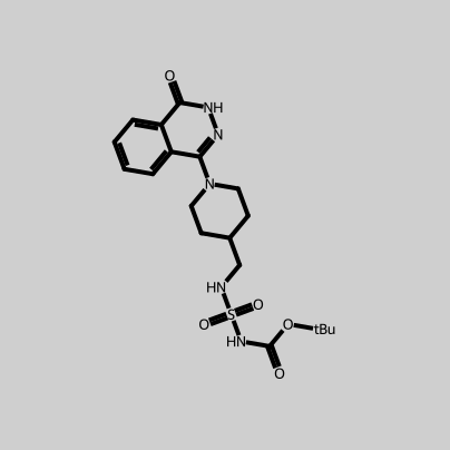 CC(C)(C)OC(=O)NS(=O)(=O)NCC1CCN(c2n[nH]c(=O)c3ccccc23)CC1